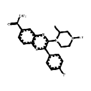 CCN1CCN(c2nc3cc(C(=O)OC)ccc3nc2-c2ccc(F)cc2)C(C)C1